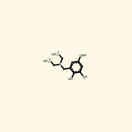 COc1cc(O)c(O)c(CN(CC(=O)O)CC(=O)O)c1